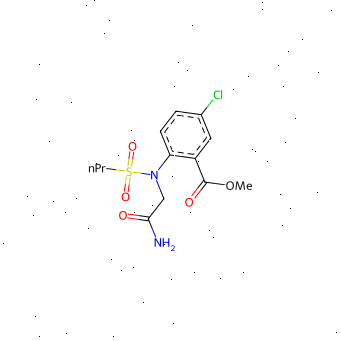 CCCS(=O)(=O)N(CC(N)=O)c1ccc(Cl)cc1C(=O)OC